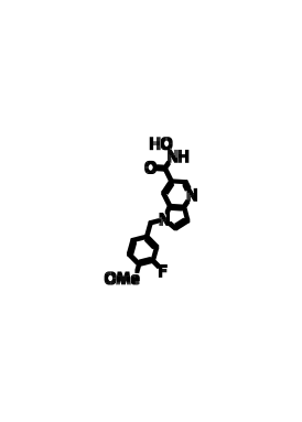 COc1ccc(Cn2ccc3ncc(C(=O)NO)cc32)cc1F